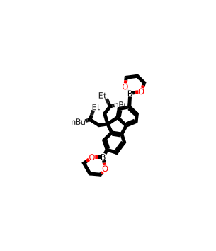 CCCCC(CC)CC1(CC(CC)CCCC)c2cc(B3OCCCO3)ccc2-c2ccc(B3OCCCO3)cc21